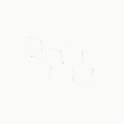 Cc1cc(C)c(N2C(=O)C3C4C=CC(C4)C3C2=O)c(C)c1